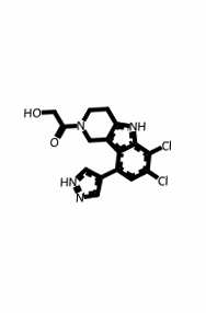 O=C(CO)N1CCc2[nH]c3c(Cl)c(Cl)cc(-c4cn[nH]c4)c3c2C1